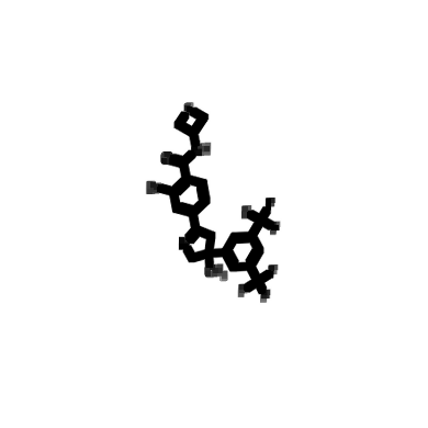 CC1(c2cc(C(F)(F)F)cc(C(F)(F)F)c2)CN=C(c2ccc(C(=O)NC3CSC3)c(Br)c2)C1